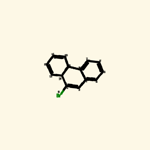 BrC1=Cc2ccccc2C2C=CC=CC12